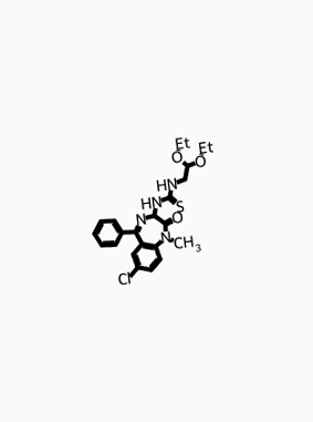 CCOC(CNC(=S)NC1N=C(c2ccccc2)c2cc(Cl)ccc2N(C)C1=O)OCC